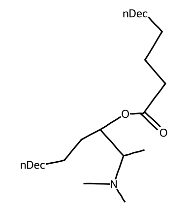 CCCCCCCCCCCCCC(=O)OC(CCCCCCCCCCCC)C(C)N(C)C